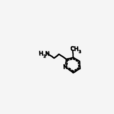 Cc1cccnc1CCN